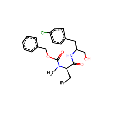 CC(C)C[C@H](C(=O)NC(CO)Cc1ccc(Cl)cc1)N(C)C(=O)OCc1ccccc1